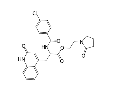 O=C(NC(Cc1cc(=O)[nH]c2ccccc12)C(=O)OCCN1CCCC1=O)c1ccc(Cl)cc1